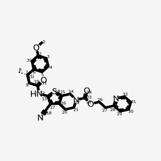 COc1cccc([C@@H](C)CC(=O)Nc2sc3c(c2C#N)CCN(C(=O)OCCc2ccccn2)C3)c1